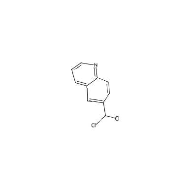 ClC(Cl)c1ccc2ncccc2c1